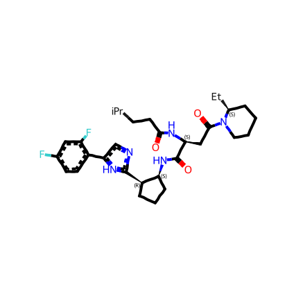 CC[C@H]1CCCCN1C(=O)C[C@H](NC(=O)CCC(C)C)C(=O)N[C@H]1CCC[C@H]1c1ncc(-c2ccc(F)cc2F)[nH]1